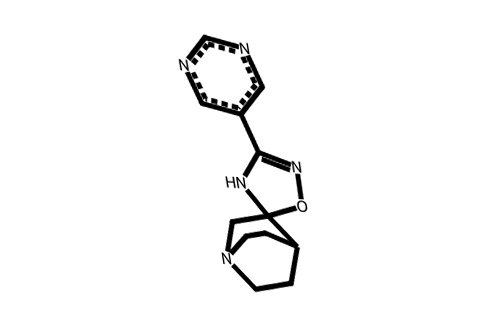 c1ncc(C2=NOC3(CN4CCC3CC4)N2)cn1